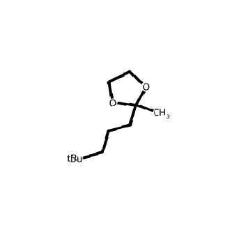 CC(C)(C)CCCC1(C)OCCO1